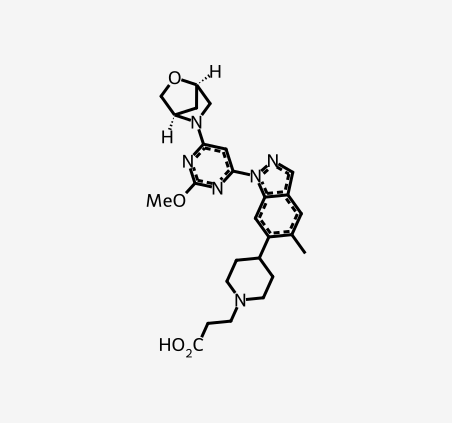 COc1nc(N2C[C@H]3C[C@@H]2CO3)cc(-n2ncc3cc(C)c(C4CCN(CCC(=O)O)CC4)cc32)n1